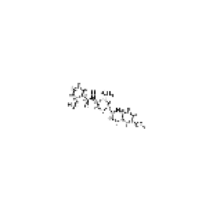 Cc1cc(-c2ncc3cc(C(F)(F)F)ccc3n2)ccc1NC(=O)c1ccncc1C